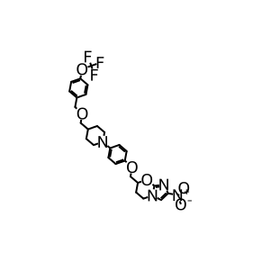 O=[N+]([O-])c1cn2c(n1)OC(COc1ccc(N3CCC(COCc4ccc(OC(F)(F)F)cc4)CC3)cc1)CC2